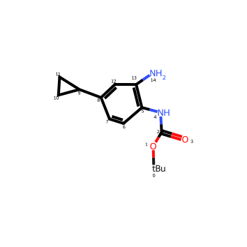 CC(C)(C)OC(=O)Nc1ccc(C2CC2)cc1N